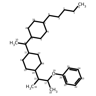 CCCCCC1CCC(C(C)C2CCC(C(C)C(C)Oc3ccccc3)CC2)CC1